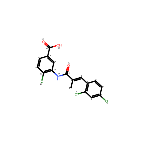 CC(=Cc1ccc(Cl)cc1Cl)C(=O)Nc1cc(C(=O)O)ccc1Cl